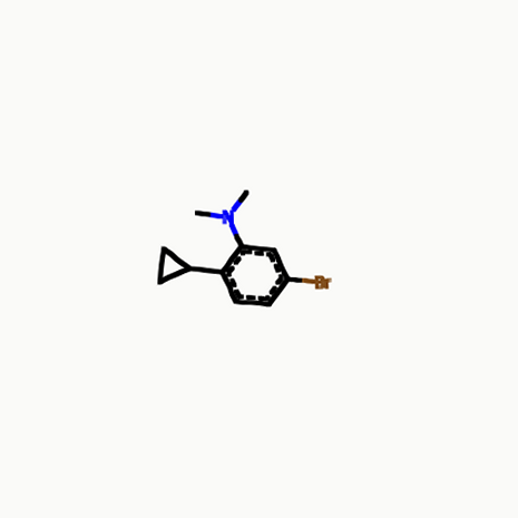 CN(C)c1cc(Br)ccc1C1CC1